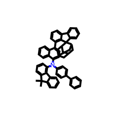 CC1(C)c2ccccc2-c2c(N(c3ccc(-c4ccccc4)cc3)c3ccc(-c4cccc5c4C4(c6ccccc6-5)C5CC6CC(C5)CC4C6)c4ccccc34)cccc21